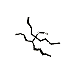 CCCCC(CCC)C(CCCC)(CCCC)[O][Sn]